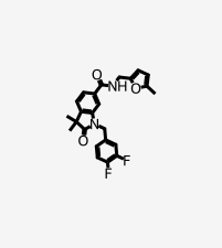 Cc1ccc(CNC(=O)c2ccc3c(c2)N(Cc2ccc(F)c(F)c2)C(=O)C3(C)C)o1